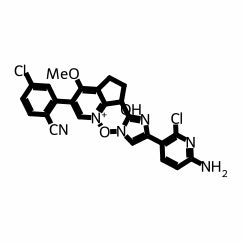 COc1c(-c2cc(Cl)ccc2C#N)c[n+]2c3c1CCC3(O)c1nc(-c3ccc(N)nc3Cl)cn1O2